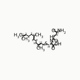 CC(C)=CCCC(C)=CCCC(C)=CCSC[C@H](NC(=O)CCC(N)=O)C(=O)O